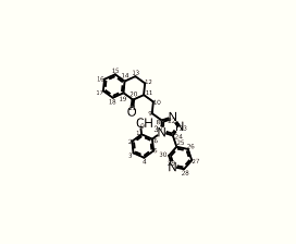 Cc1ccccc1-n1c(CCC2CCc3ccccc3C2=O)nnc1-c1cccnc1